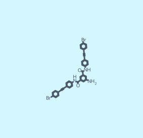 Nc1cc(C(=O)Nc2ccc(C#Cc3ccc(Br)cc3)cc2)cc(C(=O)Nc2ccc(C#Cc3ccc(Br)cc3)cc2)c1